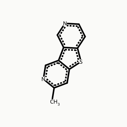 Cc1cc2sc3ccncc3c2cn1